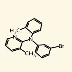 Cc1ccccc1N(c1cccc(Br)c1)c1ncccc1C